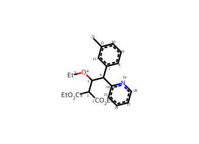 CCOC(=O)C(C(=O)OCC)C(OCC)C(c1cccc(C)c1)c1ccccn1